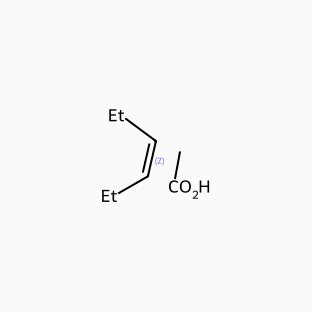 CC(=O)O.CC/C=C\CC